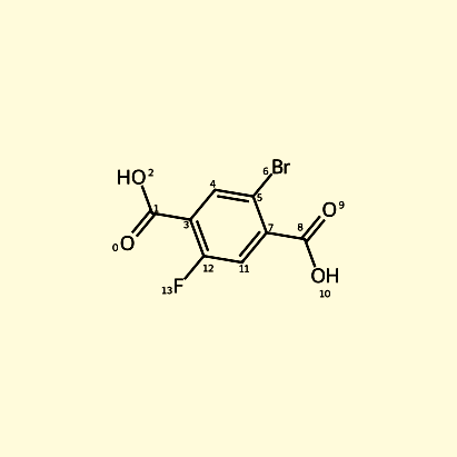 O=C(O)c1cc(Br)c(C(=O)O)cc1F